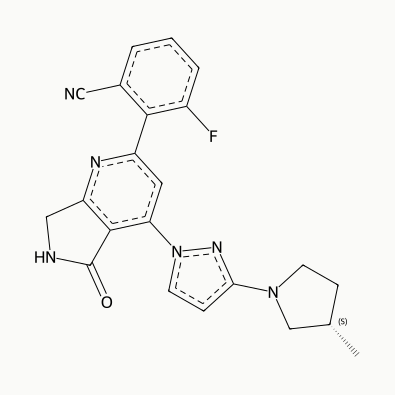 C[C@H]1CCN(c2ccn(-c3cc(-c4c(F)cccc4C#N)nc4c3C(=O)NC4)n2)C1